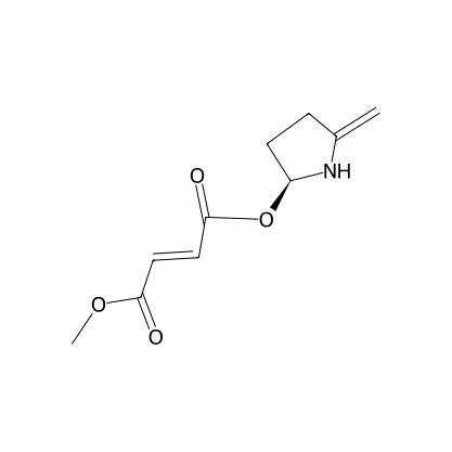 C=C1CC[C@H](OC(=O)/C=C/C(=O)OC)N1